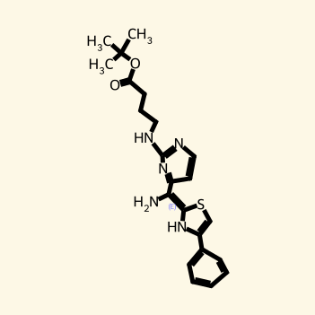 CC(C)(C)OC(=O)CCCNc1nccc(/C(N)=C2/NC(c3ccccc3)=CS2)n1